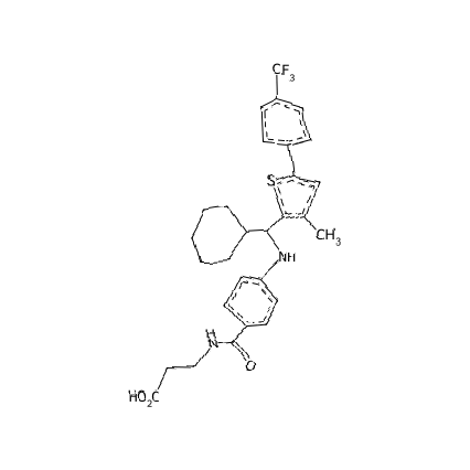 Cc1cc(-c2ccc(C(F)(F)F)cc2)sc1C(Nc1ccc(C(=O)NCCC(=O)O)cc1)C1CCCCC1